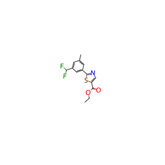 CCOC(=O)c1cnc(-c2cc(C)cc(C(F)F)c2)s1